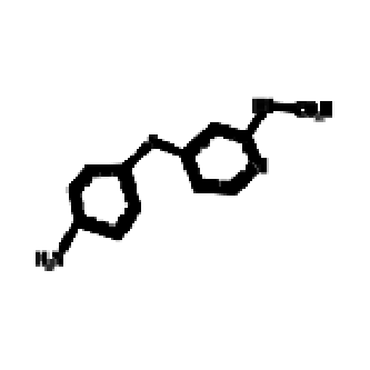 Nc1ccc(Sc2ccnc(NC(=O)O)c2)cc1